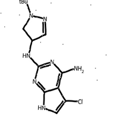 CC(C)(C)N1CC(Nc2nc(N)c3c(Cl)c[nH]c3n2)C=N1